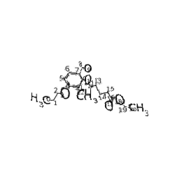 CCCOc1ccc(C=O)c(OCCCCC(=O)OCC)c1C